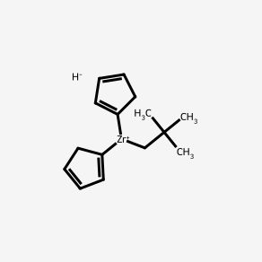 CC(C)(C)[CH2][Zr+]([C]1=CC=CC1)[C]1=CC=CC1.[H-]